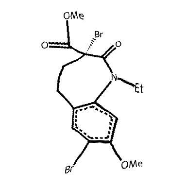 CCN1C(=O)[C@](Br)(C(=O)OC)CCc2cc(Br)c(OC)cc21